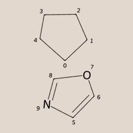 C1CCCC1.c1cocn1